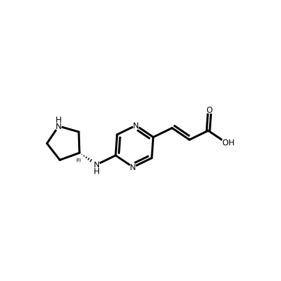 O=C(O)C=Cc1cnc(N[C@@H]2CCNC2)cn1